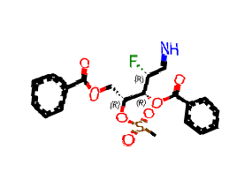 CS(=O)(=O)O[C@H](COC(=O)c1ccccc1)[C@@H](OC(=O)c1ccccc1)[C@H](F)C=N